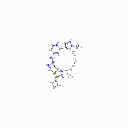 CC1CCCCOc2c(cnn2C)-c2nccc(n2)Nc2cc3c(cn2)c(N2CCC2)nn31